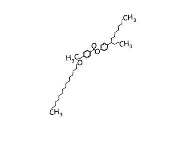 CCCCCCCCCCCCCCCCOC(C)c1ccc(C(=O)Oc2ccc(C(CCC)CCCCCCCC)cc2)cc1